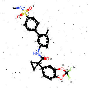 CNS(=O)(=O)c1ccc(-c2cc(NC(=O)C3(c4ccc5c(c4)OC(F)(F)O5)CC3)ccc2C)cc1